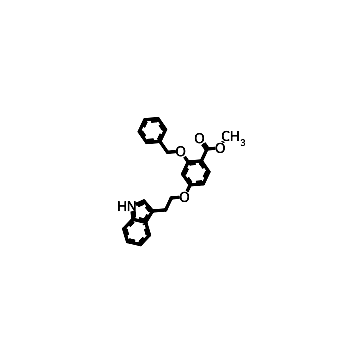 COC(=O)c1ccc(OCCc2c[nH]c3ccccc23)cc1OCc1ccccc1